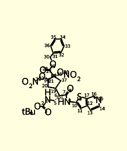 CC(C)(C)OC(=O)NC[C@@H](C(=O)Nc1cc2ccncc2s1)C1C[C@@H](O[N+](=O)[O-])[C@@](O[N+](=O)[O-])(C(=O)OCc2ccccc2)C1